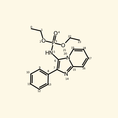 CCOP(=O)(Nc1c(-c2ccccc2)nc2ccccn12)OCC